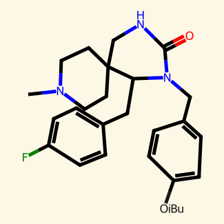 CC(C)COc1ccc(CN2C(=O)NCC3(CCN(C)CC3)C2Cc2ccc(F)cc2)cc1